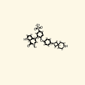 CCS(=O)(=O)c1ccc(Oc2ccc(N3CC4(CCNCC4)C3)cc2)c(-c2cn(C)c(=O)c3[nH]ccc23)c1